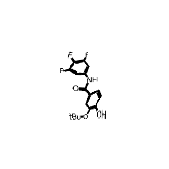 CC(C)(C)Oc1cc(C(=O)Nc2cc(F)c(F)c(F)c2)ccc1O